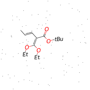 CC=CC(C(=O)OC(C)(C)C)=C(OCC)OCC